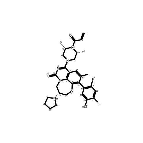 C=CC(=O)N1[C@H](C)CN(c2nc(=O)n3c4c(c(-c5cc(Cl)c(F)cc5F)c(C)cc24)SC[C@H](N2CCCC2)C3)C[C@@H]1C